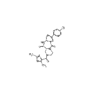 Cc1nc(C)c(C(=O)N2CCN3C(=O)c4cc(-c5ccc(Cl)cc5)ccc4NC(=O)C3C2)s1